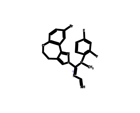 CN(/C(=N\C=N)n1cc2c(n1)-c1cc(Br)ccc1OCC2)c1ccc(F)cc1F